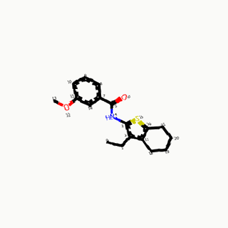 CCc1c(NC(=O)c2cccc(OC)c2)sc2c1CCCC2